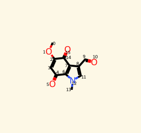 COC1=CC(=O)c2c(c(C=O)cn2C)C1=O